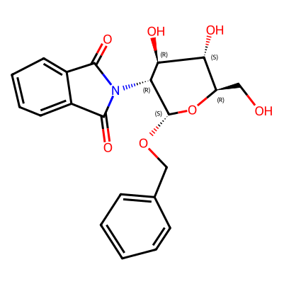 O=C1c2ccccc2C(=O)N1[C@H]1[C@@H](OCc2ccccc2)O[C@H](CO)[C@@H](O)[C@@H]1O